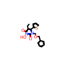 CCc1c(-c2cccs2)n(COCc2ccccc2)c(=O)n(O)c1=O